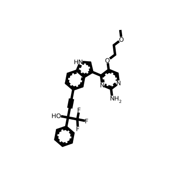 COCCOc1cnc(N)nc1-c1c[nH]c2ccc(C#CC(O)(c3ccccc3)C(F)(F)F)cc12